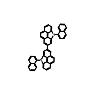 c1ccc2c(-n3c4cccc5ccc6cc(-c7cc8ccc9cccc%10c9c8c(c7)n%10-c7cccc8ccccc78)cc3c6c54)cccc2c1